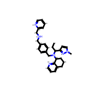 CCC(c1ccn(C)n1)N(Cc1ccc(CNCc2ccccn2)cc1)C1CCCc2cccnc21